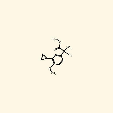 COC(=O)C(C)(N)c1ccc(OC)c(C2CC2)c1